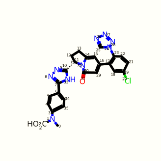 CN(C(=O)O)c1ccc(-c2nnc([C@@H]3CCc4cc(-c5cc(Cl)ccc5-n5cnnn5)cc(=O)n43)[nH]2)cc1